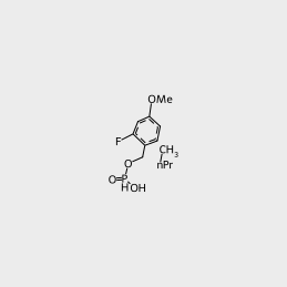 CCCC.COc1ccc(CO[PH](=O)O)c(F)c1